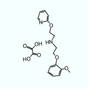 COc1ccccc1OCCNCCOc1ccccn1.O=C(O)C(=O)O